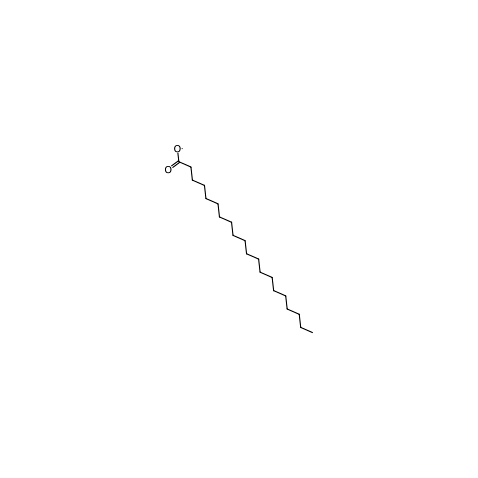 CCCCCCCCCCCCCCCCCCCC([O])=O